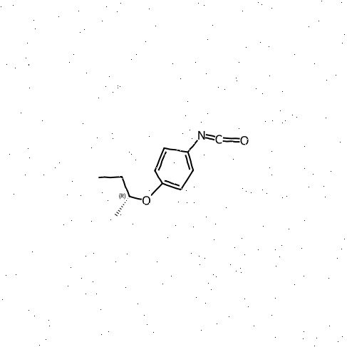 CC[C@@H](C)Oc1ccc(N=C=O)cc1